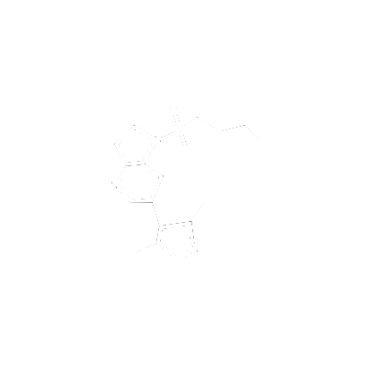 CCCCS(=O)(=O)n1ccc2ncc(-c3c(C)noc3C)cc21